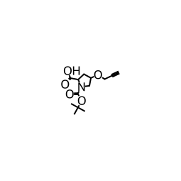 C#CCOC1CC(C(=O)O)N(C(=O)OC(C)(C)C)C1